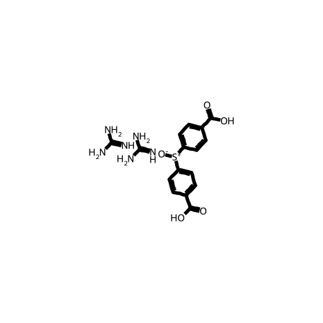 N=C(N)N.N=C(N)N.O=C(O)c1ccc([S+]([O-])c2ccc(C(=O)O)cc2)cc1